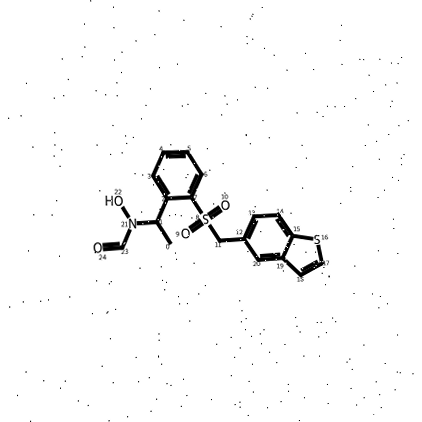 CC(c1ccccc1S(=O)(=O)Cc1ccc2sccc2c1)N(O)C=O